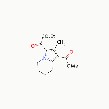 CCOC(=O)C(=O)c1c(C)c(C(=O)OC)c2n1CCCC2